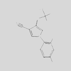 N#Cc1cn(-c2ccc(Cl)cc2Cl)cc1SC(F)(Cl)Cl